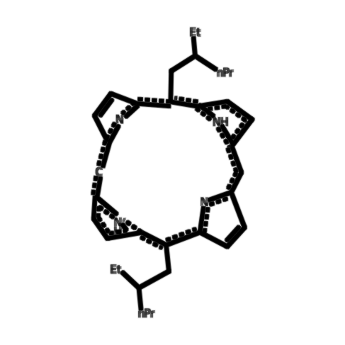 CCCC(CC)Cc1c2nc(cc3ccc([nH]3)c(CC(CC)CCC)c3nc(cc4ccc1[nH]4)C=C3)C=C2